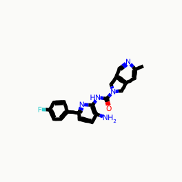 Cc1cc2c(cn1)CN(C(=O)Nc1nc(-c3ccc(F)cc3)ccc1N)C2